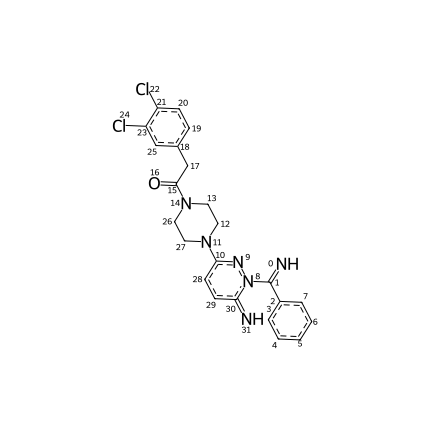 N=C(c1ccccc1)n1nc(N2CCN(C(=O)Cc3ccc(Cl)c(Cl)c3)CC2)ccc1=N